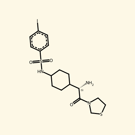 N[C@H](C(=O)N1CCSC1)C1CCC(NS(=O)(=O)c2ccc(I)cc2)CC1